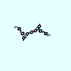 Cc1ccc(N(c2ccc(/C=C/c3ccc(C(C)C)cc3)cc2)c2ccc(-c3ccc(-c4ccc(N(c5ccc(/C=C/c6ccc(C(C)C)cc6)cc5)c5ccc(C)cc5C)cc4)cc3)cc2)c(C)c1